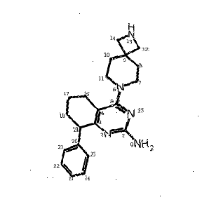 Nc1nc2c(c(N3CCC4(CC3)CNC4)n1)CCCC2c1ccccc1